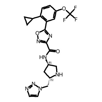 O=C(N[C@H]1CN[C@H](Cn2ccnn2)C1)c1noc(-c2cc(OC(F)(F)F)ccc2C2CC2)n1